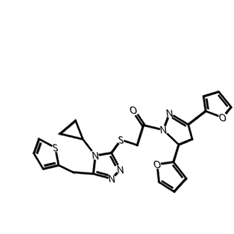 O=C(CSc1nnc(Cc2cccs2)n1C1CC1)N1N=C(c2ccco2)CC1c1ccco1